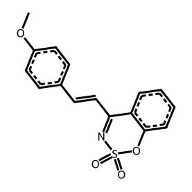 COc1ccc(/C=C/C2=NS(=O)(=O)Oc3ccccc32)cc1